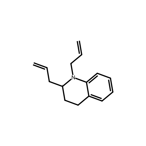 C=CC[C]1CCc2ccccc2N1CC=C